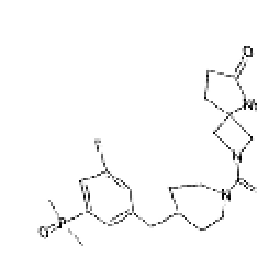 CP(C)(=O)c1cc(F)cc(CC2CCN(C(=O)N3CC4(CCC(=O)N4)C3)CC2)c1